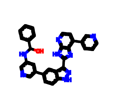 OC(Nc1cncc(-c2ccc3[nH]nc(-c4nc5c(-c6cccnc6)ccnc5[nH]4)c3c2)c1)c1ccccc1